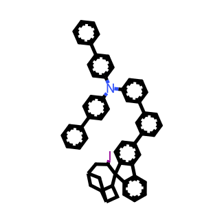 IC1CC2CC3CC(C3C2)C12c1ccccc1-c1cc(-c3cccc(-c4cccc(N(c5ccc(-c6ccccc6)cc5)c5ccc(-c6ccccc6)cc5)c4)c3)ccc12